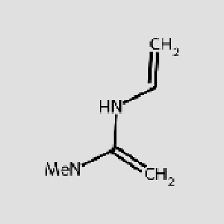 C=CNC(=C)NC